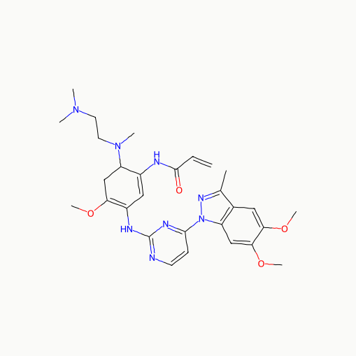 C=CC(=O)NC1=CC(Nc2nccc(-n3nc(C)c4cc(OC)c(OC)cc43)n2)=C(OC)CC1N(C)CCN(C)C